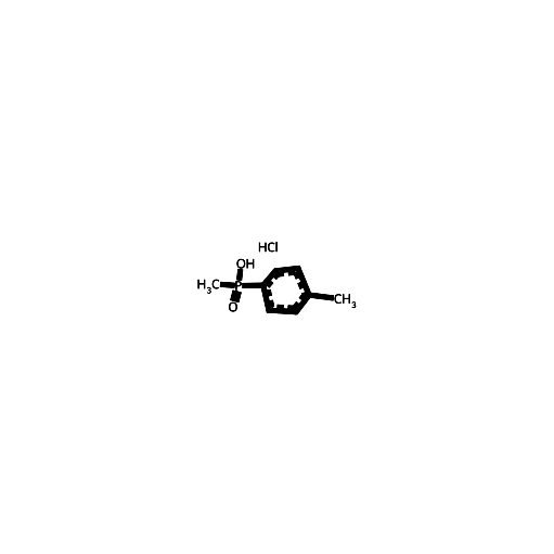 Cc1ccc(P(C)(=O)O)cc1.Cl